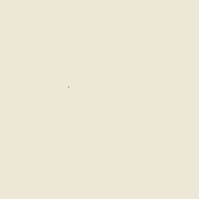 CCCc1ccc(-c2ccccc2)c(C=O)c1